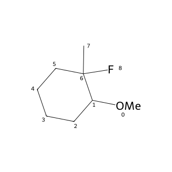 COC1CCCCC1(C)F